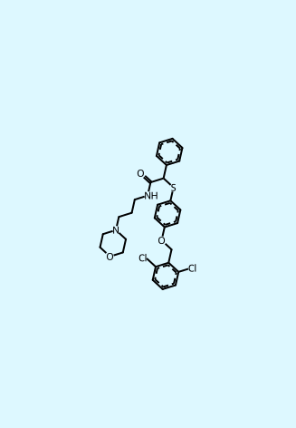 O=C(NCCCN1CCOCC1)C(Sc1ccc(OCc2c(Cl)cccc2Cl)cc1)c1ccccc1